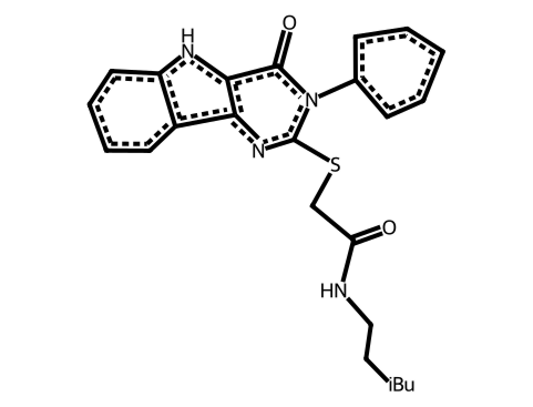 CCC(C)CCNC(=O)CSc1nc2c([nH]c3ccccc32)c(=O)n1-c1ccccc1